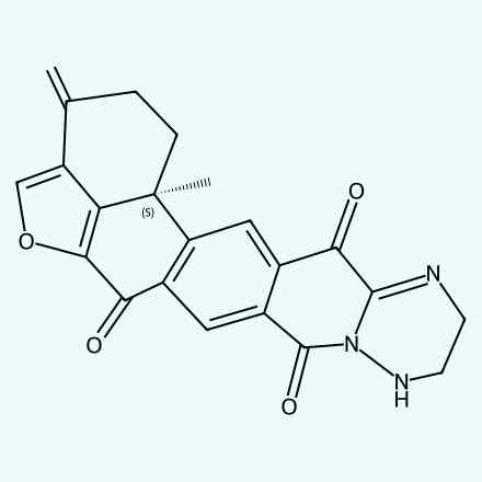 C=C1CC[C@@]2(C)c3cc4c(cc3C(=O)c3occ1c32)C(=O)N1NCCN=C1C4=O